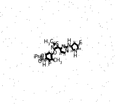 Cc1nc(Oc2ccc(NS(=O)(=O)C(C)C)c(F)c2C)c(-c2ccnc(N[C@@H]3CNC[C@@H](F)C3)n2)s1